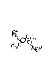 CCOCCc1cc(C)c(OCC=NO)cc1C